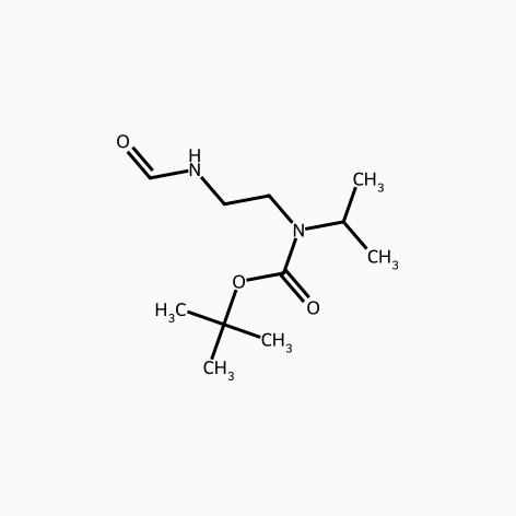 CC(C)N(CCNC=O)C(=O)OC(C)(C)C